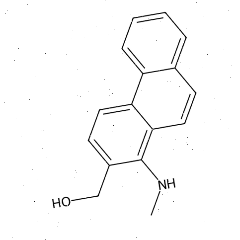 CNc1c(CO)ccc2c1ccc1ccccc12